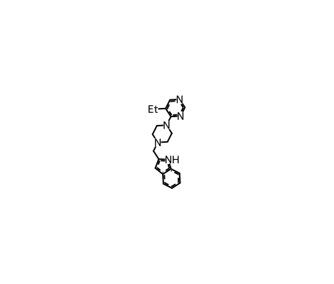 CCc1cncnc1N1CCN(Cc2cc3ccccc3[nH]2)CC1